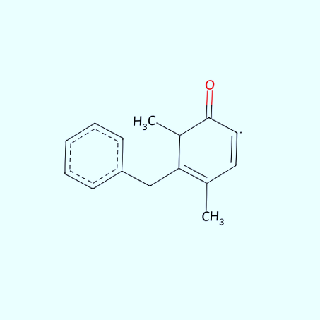 CC1=C(Cc2ccccc2)C(C)C(=O)[C]=C1